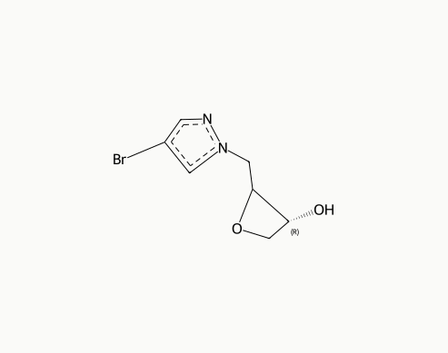 O[C@@H]1COC1Cn1cc(Br)cn1